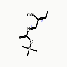 C=C(/N=C/C(=C/C)CCCC)O[Si](C)(C)C